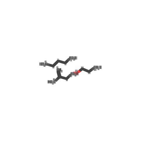 C=C(CC(=O)O)C(=O)O.O=C(O)CCCC(=O)O.O=C(O)CCO